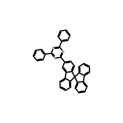 c1ccc(-c2nc(-c3ccccc3)nc(-c3ccc4c(c3)-c3ccccc3C43c4ccccc4-c4ccccc43)n2)cc1